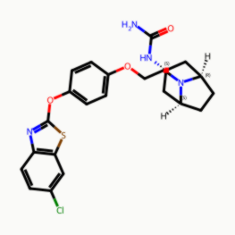 NC(=O)N[C@@H]1C[C@H]2CC[C@@H](C1)N2CCOc1ccc(Oc2nc3ccc(Cl)cc3s2)cc1